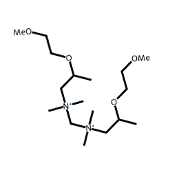 COCCOC(C)C[N+](C)(C)C[N+](C)(C)CC(C)OCCOC